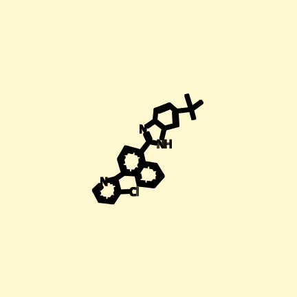 CC(C)(C)C1=CC2NC(c3ccc(-c4ncccc4Cl)c4ccccc34)=NC2C=C1